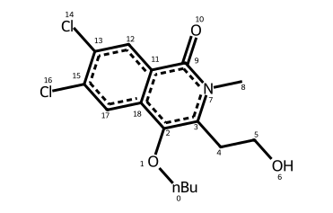 CCCCOc1c(CCO)n(C)c(=O)c2cc(Cl)c(Cl)cc12